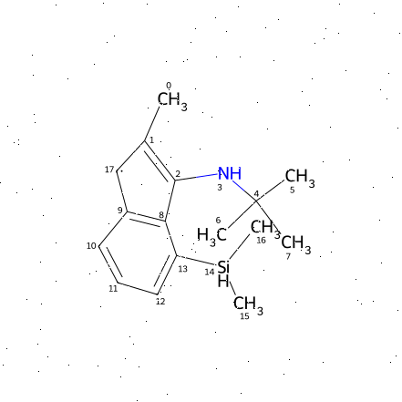 CC1=C(NC(C)(C)C)c2c(cccc2[SiH](C)C)[CH]1